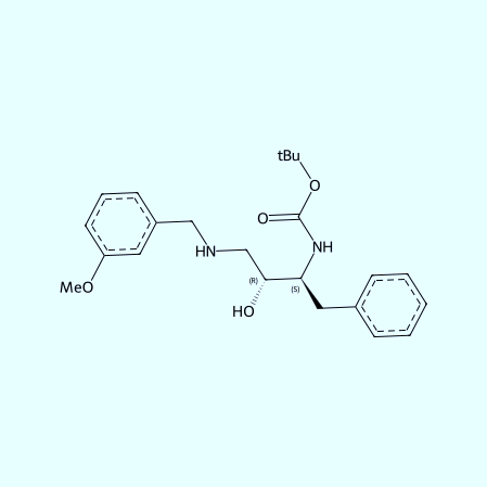 COc1cccc(CNC[C@@H](O)[C@H](Cc2ccccc2)NC(=O)OC(C)(C)C)c1